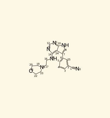 N#Cc1cccc(-c2c[nH]c3ncnc(NCCN4CCOCC4)c23)c1